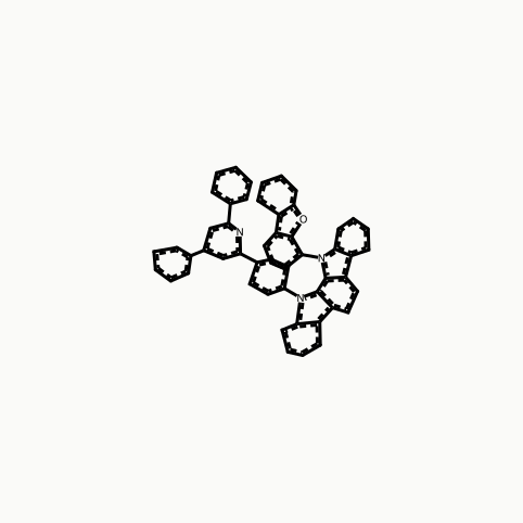 c1ccc(-c2cc(-c3ccccc3)nc(-c3ccc(-n4c5ccccc5c5ccc6c7ccccc7n(-c7cccc8c7oc7ccccc78)c6c54)cc3)c2)cc1